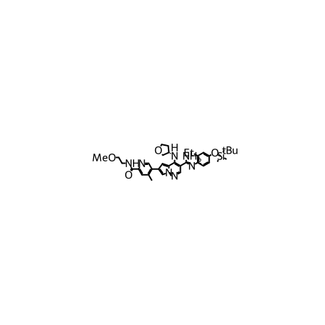 CCc1cc(O[Si](C)(C)C(C)(C)C)ccc1/N=C(\N)c1cnn2cc(-c3cnc(C(=O)NCCOC)cc3C)cc2c1N[C@H]1CCOC1